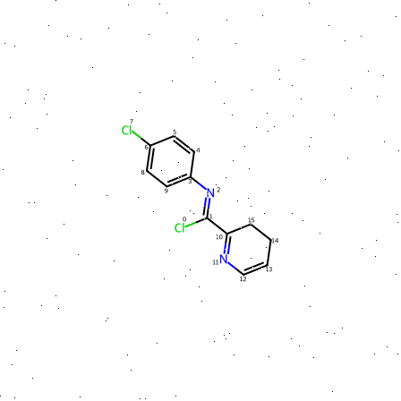 ClC(=Nc1ccc(Cl)cc1)C1=NC=CCC1